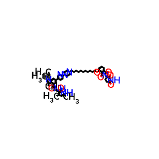 CC[C@H](C)n1cc(C)c2c(C(=O)NCc3c(C)cc(C)[nH]c3=O)cc(-c3ccc(N4CCN(CCCCCCCCCCCOc5cccc6c5C(=O)N(C5CCC(=O)NC5=O)C6=O)CC4)nc3)cc21